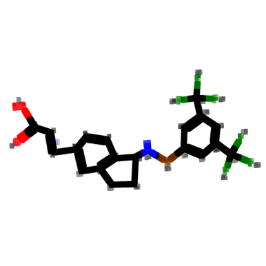 O=C(O)/C=C/c1ccc2c(c1)CCC2NSc1cc(C(F)(F)F)cc(C(F)(F)F)c1